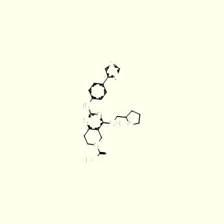 O=C(O)N1CCc2nc(Nc3ccc(-c4cnco4)cc3)nc(NCC3CCCO3)c2C1